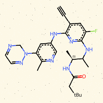 C#Cc1cc(F)c(NC(C)[C@H](C)NC(=O)CC(C)(C)C)nc1Nc1cnc(C)c(N2CN=CC=N2)c1